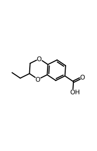 CCC1COc2ccc(C(=O)O)cc2O1